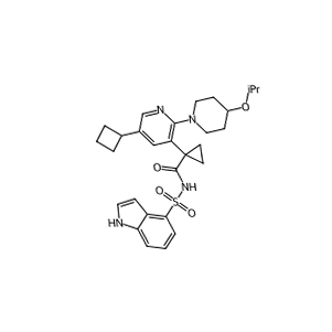 CC(C)OC1CCN(c2ncc(C3CCC3)cc2C2(C(=O)NS(=O)(=O)c3cccc4[nH]ccc34)CC2)CC1